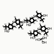 Cc1cc(O)c(C(C)(C)C)cc1Sc1cc(C(C)(C)C)c(O)cc1C.Cc1cc(O)c(C(C)(C)C)cc1Sc1cc(C(C)(C)C)c(O)cc1C.Cc1cc(O)c(C(C)(C)C)cc1Sc1cc(C(C)(C)C)c(O)cc1C.OP(O)O